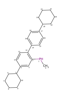 CPc1cc(C2CCCCC2)ccc1-c1ccc(C2CCCCC2)cc1